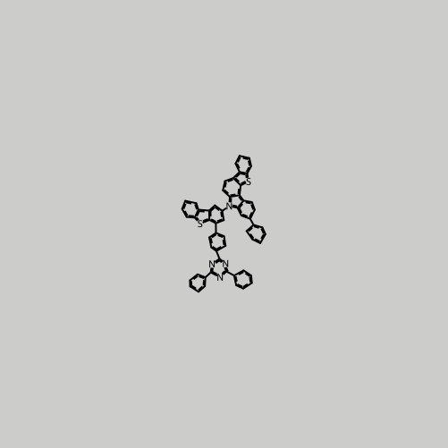 c1ccc(-c2ccc3c4c5sc6ccccc6c5ccc4n(-c4cc(-c5ccc(-c6nc(-c7ccccc7)nc(-c7ccccc7)n6)cc5)c5sc6ccccc6c5c4)c3c2)cc1